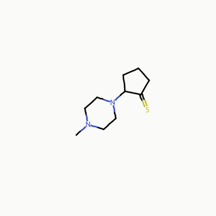 CN1CCN(C2CCCC2=S)CC1